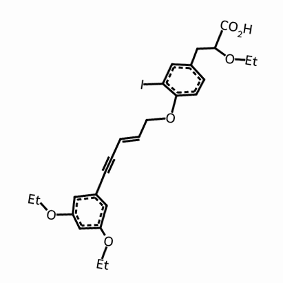 CCOc1cc(C#CC=CCOc2ccc(CC(OCC)C(=O)O)cc2I)cc(OCC)c1